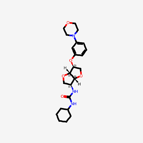 O=C(NC1CCCCC1)N[C@H]1CO[C@H]2[C@@H]1OC[C@@H]2Oc1cccc(N2CCOCC2)c1